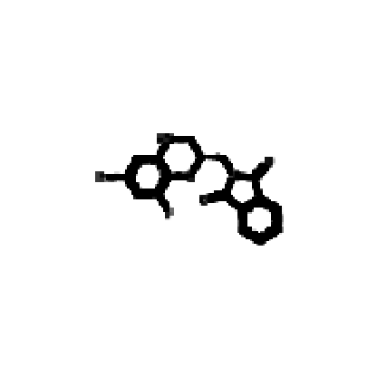 O=C1c2ccccc2C(=O)N1C[C@H]1CNc2cc(Br)cc(F)c2O1